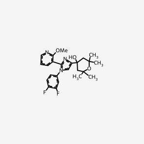 COc1ncccc1-c1nc(C2(O)CC(C)(C)OC(C)(C)C2)cn1-c1ccc(F)c(F)c1